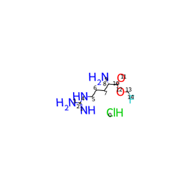 Cl.N=C(N)NCCC[C@H](N)C(=O)OCF